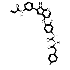 C=CC(=O)Nc1cccc(-c2cc3c(Oc4ccc(NC(=O)NC(=O)Cc5ccc(F)cc5)cc4F)ccnc3[nH]2)c1